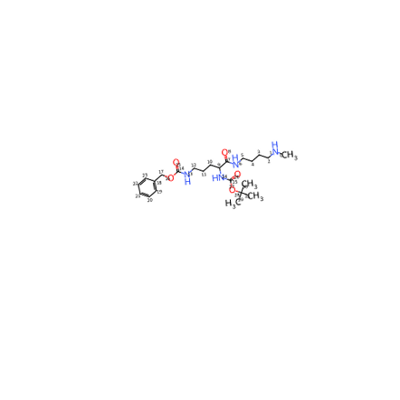 CNCCCCNC(=O)C(CCCNC(=O)OCc1ccccc1)NC(=O)OC(C)(C)C